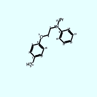 Cc1ccc(OCCN(c2ccccc2)C(C)C)cc1